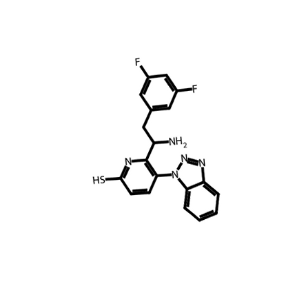 NC(Cc1cc(F)cc(F)c1)c1nc(S)ccc1-n1nnc2ccccc21